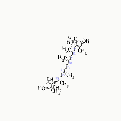 CC1=C(C#C/C(C)=C/C=C/C(C)=C/C=C/C=C(C)/C=C/C=C(C)/C=C/C2=C(C)C[C@@H](O)CC2(C)C)C(C)(C)C[C@H](O)C1